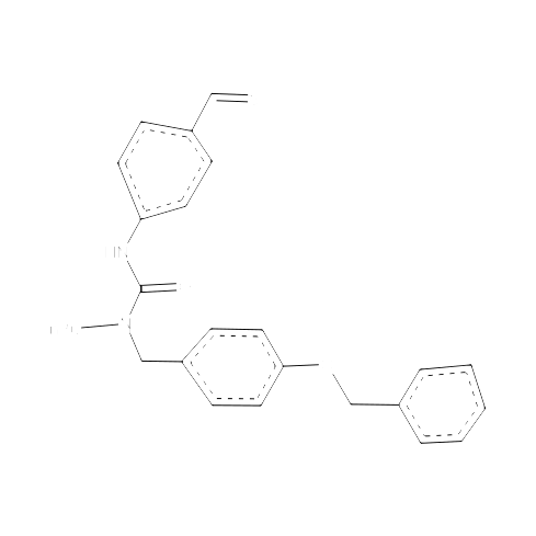 CCCCN(Cc1ccc(OCc2ccccc2)cc1)C(=O)Nc1ccc(C=S)cc1